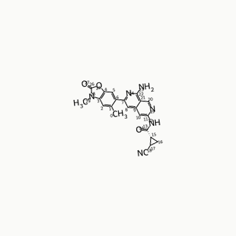 Cc1cc2c(cc1-c1cc3cc(NC(=O)[C@@H]4CC4C#N)ncc3c(N)n1)oc(=O)n2C